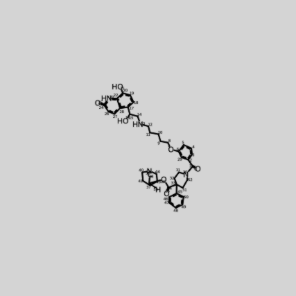 O=C(c1cccc(OCCCCCNCC(O)c2ccc(O)c3[nH]c(=O)ccc23)c1)N1CCC(C(=O)O[C@H]2CN3CCC2CC3)(c2ccccc2)CC1